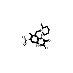 Cc1c([N+](=O)[O-])cc2[nH]c(=O)c(=O)[nH]c2c1CN1CCCCC1C